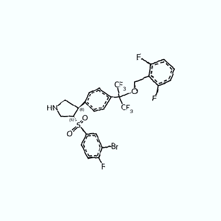 O=S(=O)(c1ccc(F)c(Br)c1)[C@@H]1CNC[C@H]1c1ccc(C(OCc2c(F)cccc2F)(C(F)(F)F)C(F)(F)F)cc1